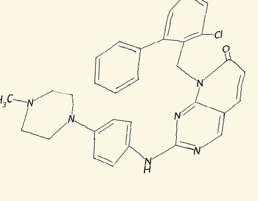 CN1CCN(c2ccc(Nc3ncc4ccc(=O)n(Cc5c(Cl)cccc5-c5ccccc5)c4n3)cc2)CC1